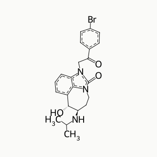 CC(C)N[C@@H]1CCn2c(=O)n(CC(=O)c3ccc(Br)cc3)c3cccc(c32)[C@H]1O